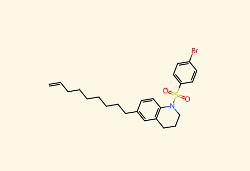 C=CC[CH]CCCCCc1ccc2c(c1)CCCN2S(=O)(=O)c1ccc(Br)cc1